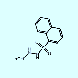 CCCCCCCCNNS(=O)(=O)c1cccc2ccccc12